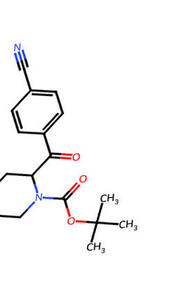 CC(C)(C)OC(=O)N1CCNCC1C(=O)c1ccc(C#N)cc1